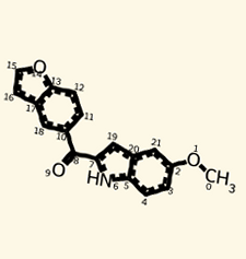 COc1ccc2[nH]c(C(=O)c3ccc4occc4c3)cc2c1